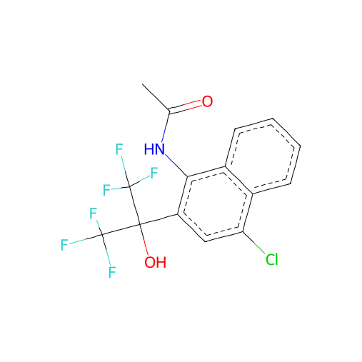 CC(=O)Nc1c(C(O)(C(F)(F)F)C(F)(F)F)cc(Cl)c2ccccc12